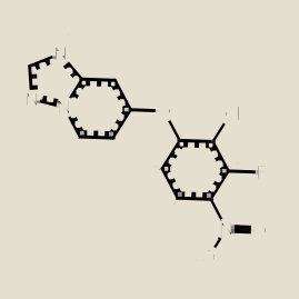 O=[N+]([O-])c1ccc(Oc2ccn3ncnc3c2)c(Cl)c1F